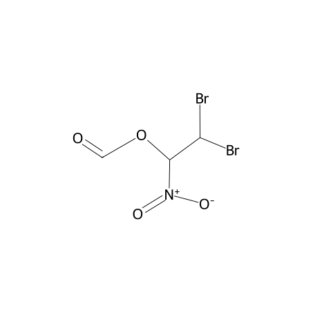 O=COC(C(Br)Br)[N+](=O)[O-]